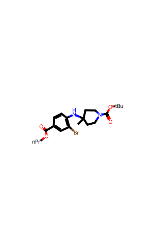 CCCOC(=O)c1ccc(NC2(C)CCN(C(=O)OC(C)(C)C)CC2)c(Br)c1